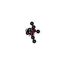 C1=CC2C(c3ccccc3N2c2cccc(-c3ccccc3)c2)c2c1oc1cccc(-c3nc(-c4ccc(-c5ccccc5)cc4)nc(-c4cccc(-c5ccccc5)c4)n3)c21